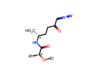 CCO[C@H](C(=O)N[C@@H](CCC(=O)C=[N+]=[N-])C(=O)O)C(C)C